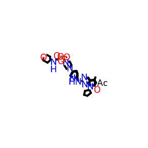 CC(=O)c1c(C)c2cnc(Nc3ccc(N4CCN(S(=O)(=O)OC(=O)NC5CCOCC5)CC4)cn3)nc2n(C2CCCC2)c1=O